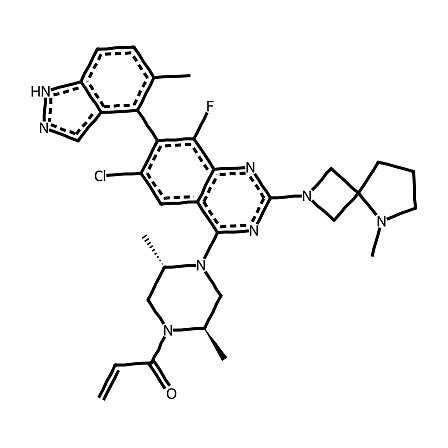 C=CC(=O)N1C[C@H](C)N(c2nc(N3CC4(CCCN4C)C3)nc3c(F)c(-c4c(C)ccc5[nH]ncc45)c(Cl)cc23)C[C@H]1C